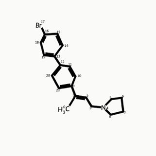 CC(=CCN1CCCC1)c1ccc(-c2ccc(Br)cc2)cc1